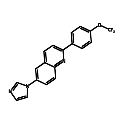 FC(F)(F)Oc1ccc(-c2ccc3cc(-n4ccnc4)ccc3n2)cc1